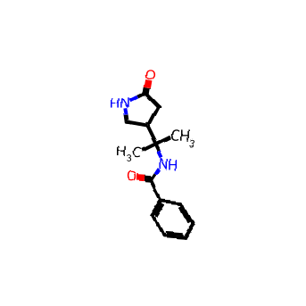 CC(C)(NC(=O)c1ccccc1)C1CNC(=O)C1